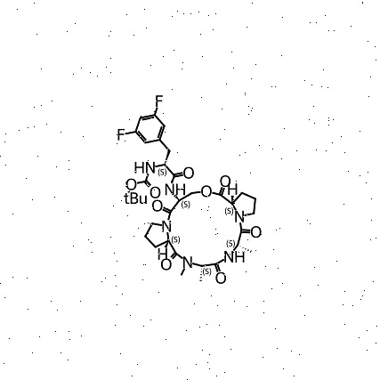 C[C@@H]1NC(=O)[C@H](C)N(C)C(=O)[C@@H]2CCCN2C(=O)[C@@H](NC(=O)[C@H](Cc2cc(F)cc(F)c2)NC(=O)OC(C)(C)C)COC(=O)[C@@H]2CCCN2C1=O